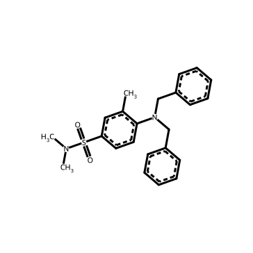 Cc1cc(S(=O)(=O)N(C)C)ccc1N(Cc1ccccc1)Cc1ccccc1